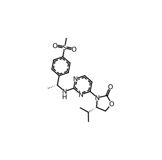 CC(C)[C@H]1COC(=O)N1c1ccnc(N[C@H](C)c2ccc(S(C)(=O)=O)cc2)n1